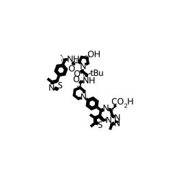 Cc1ncsc1-c1ccc([C@H](C)NC(=O)[C@@H]2C[C@@H](O)CN2C(=O)[C@@H](NC(=O)[C@@H]2CCCN(c3ccc(C4=N[C@@H](CC(=O)O)c5nnc(C)n5-c5sc(C)c(C)c54)cc3)C2)C(C)(C)C)cc1